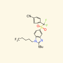 [C-]#[N+]c1ccc(C(F)(F)S(=O)(=O)c2ccc3c(c2)nc(C(C)(C)C)n3CCCCC(F)(F)F)cc1